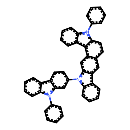 c1ccc(-n2c3ccccc3c3ccc(-n4c5ccccc5c5cc6ccc7c(c6cc54)c4ccccc4n7-c4ccccc4)cc32)cc1